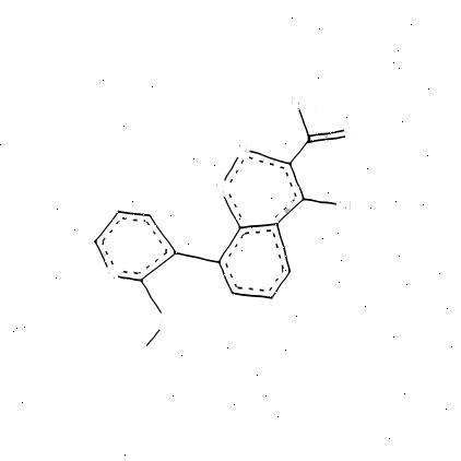 COc1ncccc1-c1cccc2c(N)c(C(N)=O)nnc12